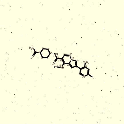 Cc1cc(F)ncc1-c1cc2c(NC(C)C)c(C(=O)N[C@H]3CC[C@H](C(N)=O)CC3)cnn2c1